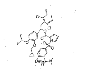 C=C/C(Cl)=C(C[C@H](OC(=O)c1cccn1S(=O)(=O)c1ccc(OC)c(C(=O)N(C)C)c1)c1ccc(OC(F)F)c(OCC2CC2)c1)\C(Cl)=C/C